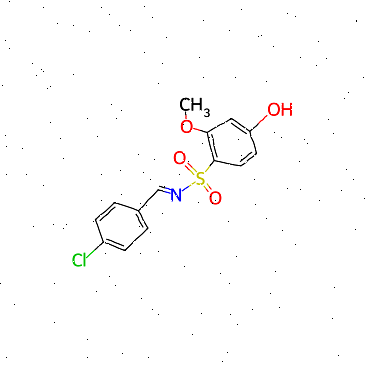 COc1cc(O)ccc1S(=O)(=O)/N=C/c1ccc(Cl)cc1